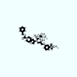 CC(C)(C)OC(=O)N(C[C@@H](O)COc1cccc(S(C)(=O)=O)c1)[C@H]1COC2(CCN(C(=O)OCc3ccccc3)CC2)C1